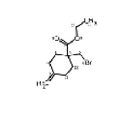 C=C1CCC(CBr)(C(=O)OCC)CC1